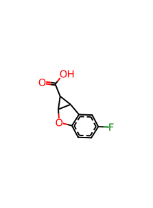 O=C(O)C1C2Oc3ccc(F)cc3C21